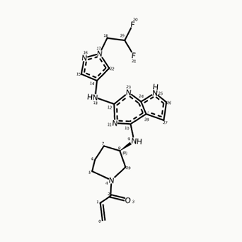 C=CC(=O)N1CCC[C@@H](Nc2nc(Nc3cnn(CC(F)F)c3)nc3[nH]ccc23)C1